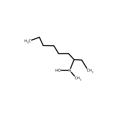 CCCCCCC(CC)N(C)O